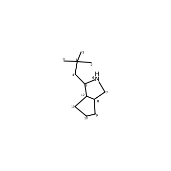 CC(C)(C)CC1NCC2CCCC21